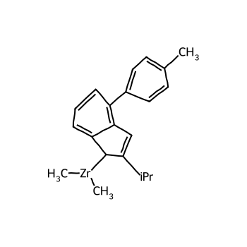 Cc1ccc(-c2cccc3c2C=C(C(C)C)[CH]3[Zr]([CH3])[CH3])cc1